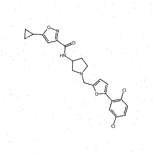 O=C(NC1CCN(Cc2ccc(-c3cc(Cl)ccc3Cl)o2)C1)c1cc(C2CC2)on1